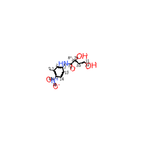 Cc1cc(NC(=O)[C@@](C)(O)CCO)ccc1[N+](=O)[O-]